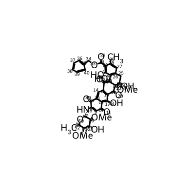 CO[C@@H]1[C@@H](O)[C@@H](OC)[C@@H](NC2=CC(=O)c3c(cc4c(c3O)C(=O)[C@]3(OC)[C@H](O)Cc5cc(C)c(C(=O)OCc6ccccc6)c(O)c5[C@]3(O)C4=O)C2=O)O[C@H]1C